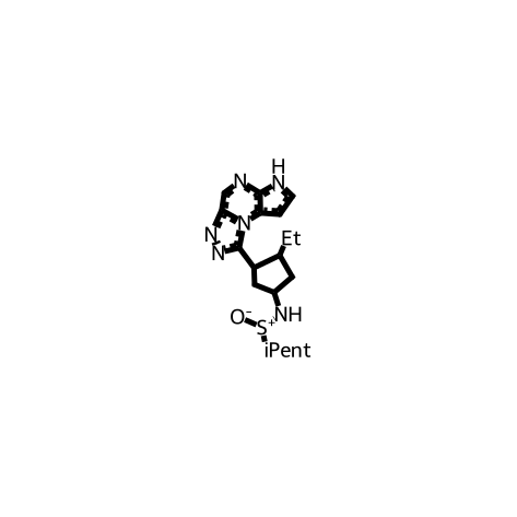 CCCC(C)[S+]([O-])NC1CC(CC)C(c2nnc3cnc4[nH]ccc4n23)C1